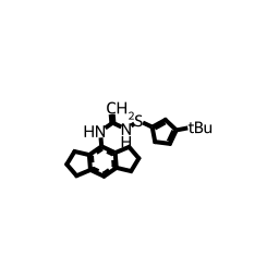 C=C(NSC1=CC(C(C)(C)C)=CC1)Nc1c2c(cc3c1CCC3)CCC2